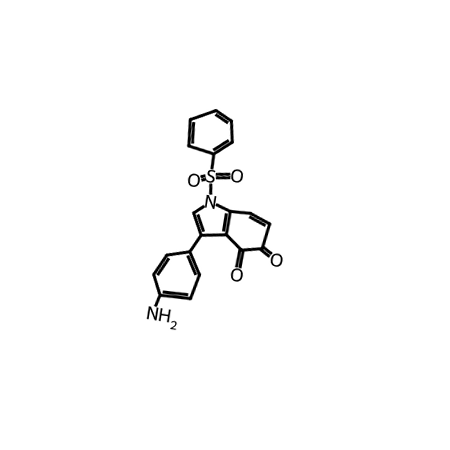 Nc1ccc(-c2cn(S(=O)(=O)c3ccccc3)c3c2C(=O)C(=O)C=C3)cc1